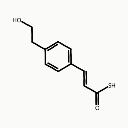 O=C(S)/C=C/c1ccc(CCO)cc1